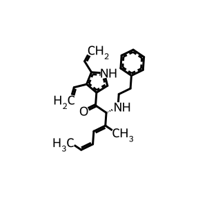 C=Cc1[nH]cc(C(=O)[C@H](NCCc2ccccc2)/C(C)=C/C=C\C)c1C=C